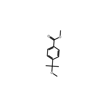 COC(=O)c1ccc(C(C)(C)OC)cc1